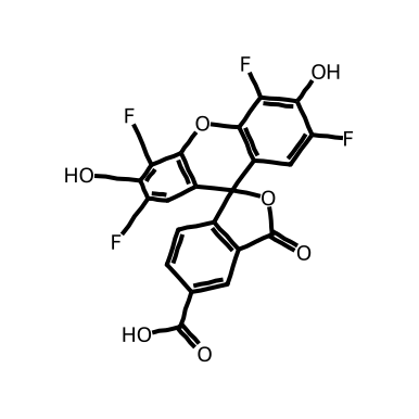 O=C(O)c1ccc2c(c1)C(=O)OC21c2cc(F)c(O)c(F)c2Oc2c1cc(F)c(O)c2F